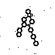 c1ccc(-c2ccc(-c3ccc(N(c4cccc(-c5ccc6ccccc6c5)c4)c4cccc(-c5oc6ccccc6c5-c5ccccc5)c4)cc3)cc2)cc1